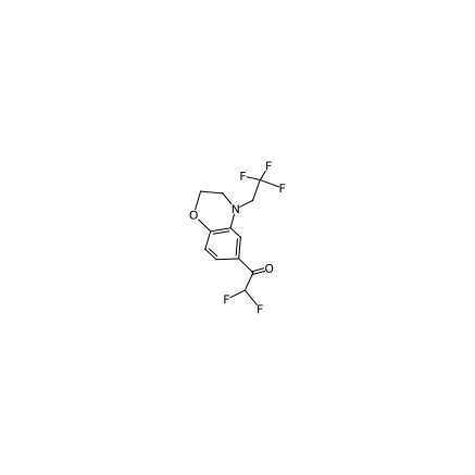 O=C(c1ccc2c(c1)N(CC(F)(F)F)CCO2)C(F)F